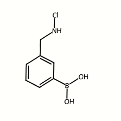 OB(O)c1cccc(CNCl)c1